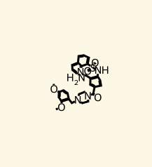 COc1ccc(CN2CCN(C(=O)c3ccc(NS(=O)(=O)c4cccc5cccnc45)c(CN)c3)CC2)c(OC)c1